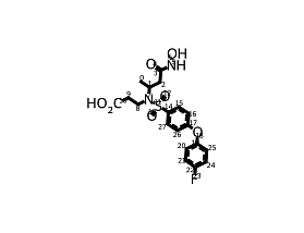 CC(CC(=O)NO)N(CCC(=O)O)S(=O)(=O)c1ccc(Oc2ccc(F)cc2)cc1